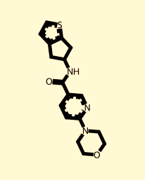 O=C(NC1Cc2ccsc2C1)c1ccc(N2CCOCC2)nc1